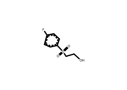 O=S(=O)(CCO)c1ccc(F)cc1